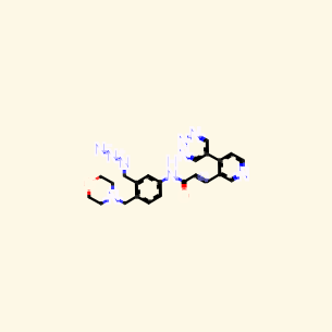 [N-]=[N+]=NCc1cc(NC(=O)/C=C/c2cnccc2-c2cnnnc2)ccc1CN1CCOCC1